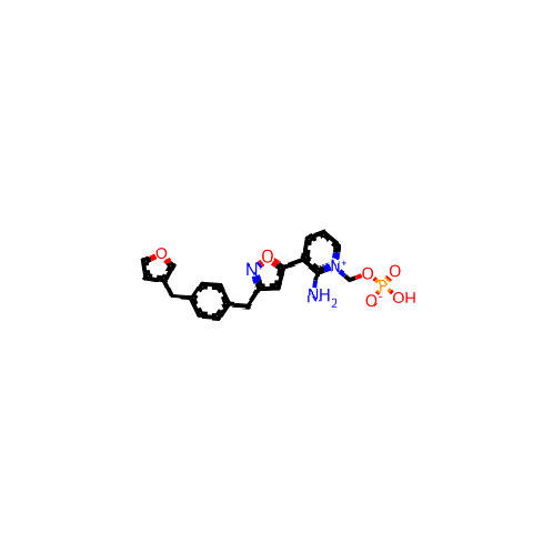 Nc1c(-c2cc(Cc3ccc(Cc4ccoc4)cc3)no2)ccc[n+]1COP(=O)([O-])O